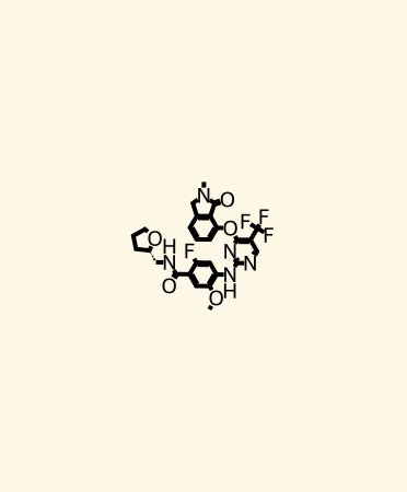 COc1cc(C(=O)NC[C@@H]2CCCO2)c(F)cc1Nc1ncc(C(F)(F)F)c(Oc2cccc3c2C(=O)N(C)C3)n1